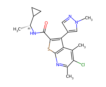 Cc1nc2sc(C(=O)N[C@H](C)C3CC3)c(-c3cnn(C)c3)c2c(C)c1Cl